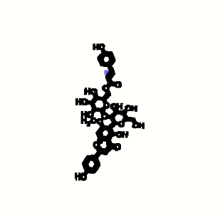 COc1cc2oc(-c3ccc(O)cc3)cc(=O)c2c(O)c1C1OC(CO)C(O)C(O)C1OC1OC(COC(=O)/C=C/c2ccc(O)cc2)C(O)C(O)C1O